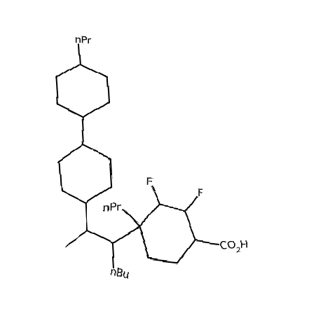 CCCCC(C(C)C1CCC(C2CCC(CCC)CC2)CC1)C1(CCC)CCC(C(=O)O)C(F)C1F